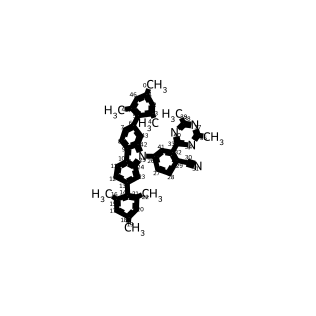 Cc1cc(C)c(-c2ccc3c4ccc(-c5c(C)cc(C)cc5C)cc4n(-c4ccc(C#N)c(-c5nc(C)nc(C)n5)c4)c3c2)c(C)c1